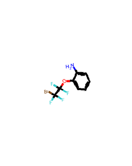 Nc1ccccc1OC(F)(F)C(F)(F)Br